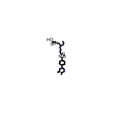 C=C/C=C(\C=C/C(C)C)c1ccc(-c2nc(/C=C/C=C(\C=C/C)CNCC(=O)O)no2)cc1